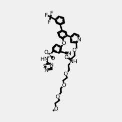 COCCOCCOCCOCCNC(=O)COCc1cc(-c2cc(-c3cccc(C(F)(F)F)c3)ccc2Oc2ccc(S(=O)(=O)Nc3ncns3)cc2C#N)ccn1